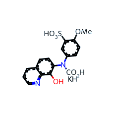 COc1ccc(N(C(=O)O)c2ccc3cccnc3c2O)cc1S(=O)(=O)O.[KH]